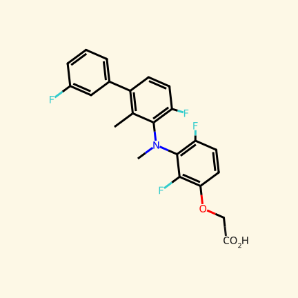 Cc1c(-c2cccc(F)c2)ccc(F)c1N(C)c1c(F)ccc(OCC(=O)O)c1F